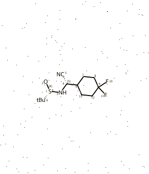 CC(C)(C)[S@+]([O-])N[C@H](C#N)C1CCC(F)(F)CC1